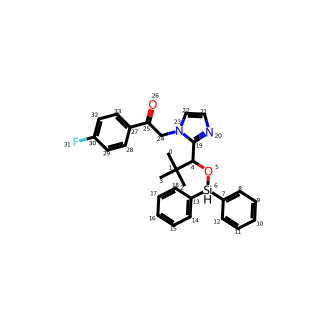 CC(C)(C)C(O[SiH](c1ccccc1)c1ccccc1)c1nccn1CC(=O)c1ccc(F)cc1